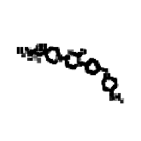 CC(C)(N)CC1(F)CCN(c2ccn(-c3ccc(CN4CCC(N)CC4)cc3)c(=O)n2)CC1